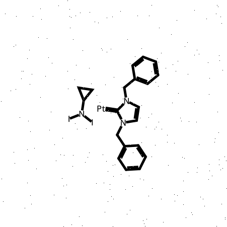 IN(I)C1CC1.[Pt]=[c]1n(Cc2ccccc2)ccn1Cc1ccccc1